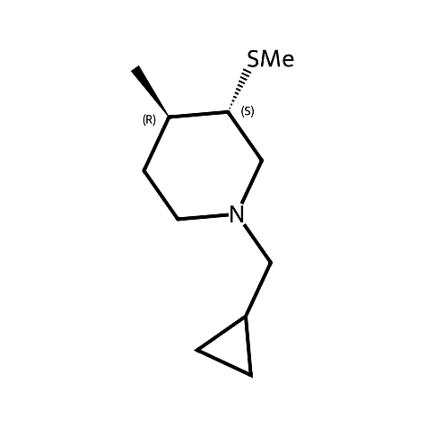 CS[C@@H]1CN(CC2CC2)CC[C@H]1C